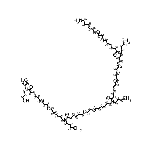 C=CCN(CCCC)C(=O)CCSCCOCCOCCSCCCN(CCCC)C(=O)CCSCCOCCOCCSCCCN(CCCC)C(=O)CCSCCOCCOCCSCCCN(CCCC)C(=O)CCSCCOCCOCCSCCCN